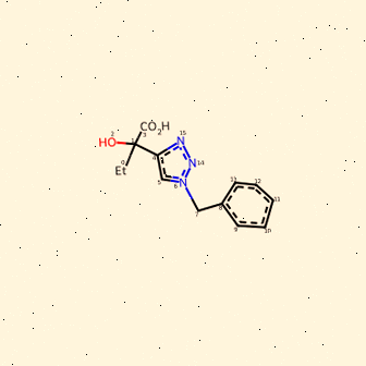 CCC(O)(C(=O)O)c1cn(Cc2ccccc2)nn1